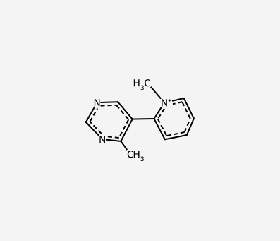 Cc1ncncc1-c1cccc[n+]1C